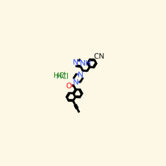 CC#Cc1cccc2c(C(=O)N3CCN(C(Cc4ccc(C#N)cc4)c4cnc[nH]4)CC3)cccc12.Cl.Cl